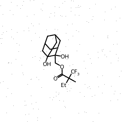 CCC(C)(C(=O)OCC1(O)C2CC3CC(C2)CC1(O)C3)C(F)(F)F